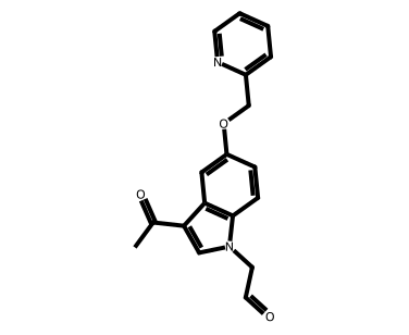 CC(=O)c1cn(CC=O)c2ccc(OCc3ccccn3)cc12